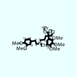 COC(=O)C(CCCN(C)CCc1ccc(OC)c(OC)c1)(C(=O)OC(C)C)c1ccc(OC)c(OC)c1